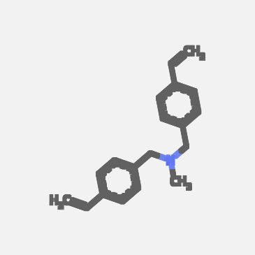 C=Cc1ccc(CN(C)Cc2ccc(C=C)cc2)cc1